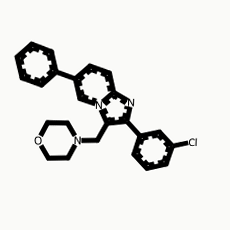 Clc1cccc(-c2nc3ccc(-c4ccccc4)cn3c2CN2CCOCC2)c1